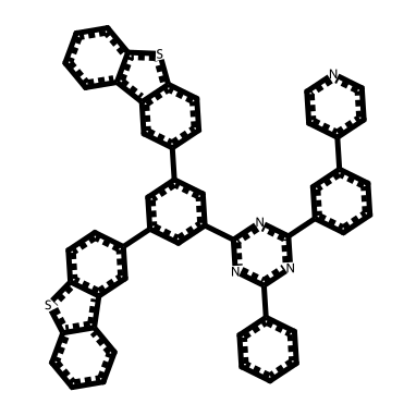 c1ccc(-c2nc(-c3cccc(-c4ccncc4)c3)nc(-c3cc(-c4ccc5sc6ccccc6c5c4)cc(-c4ccc5sc6ccccc6c5c4)c3)n2)cc1